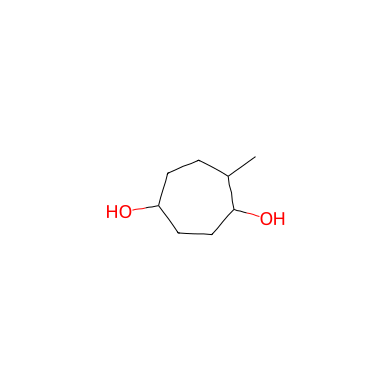 CC1CCC(O)CCC1O